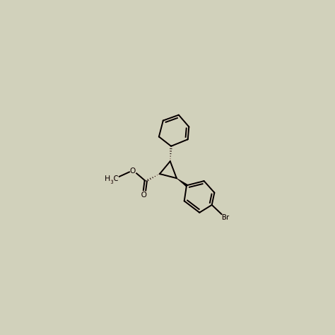 COC(=O)[C@H]1[C@H](c2ccc(Br)cc2)[C@H]1C1C=CC=CC1